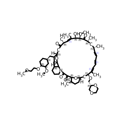 COCCO[C@@H]1CC[C@@H](CC2[C@H]3CCCN4C(=O)C(=O)[C@]5(O)O[C@@H](CC[C@H]5C)C[C@H](OC[C@H]5COCCO5)/C(C)=C/C=C/C=C/[C@@H](C)C[C@@H](C)C(=O)[C@H](OC)[C@H](O)/C(C)=C/[C@@H](C)C(=O)C[C@@H]2OC(=O)C34)C[C@H]1OC